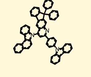 c1ccc(C2(c3ccccc3)c3ccccc3-c3cc4c(-n5c6ccccc6c6c7ccccc7ccc65)cc(-c5ccc(-n6c7ccccc7c7ccccc76)cc5)nc4cc32)cc1